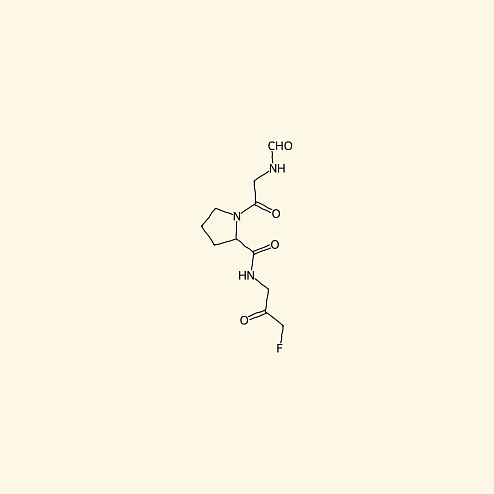 O=CNCC(=O)N1CCCC1C(=O)NCC(=O)CF